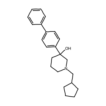 OC1(c2ccc(-c3ccccc3)cc2)CCCN(CC2CCCC2)C1